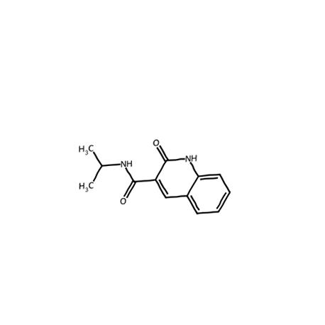 CC(C)NC(=O)c1cc2ccccc2[nH]c1=O